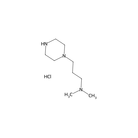 CN(C)CCCN1CCNCC1.Cl